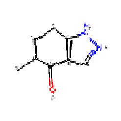 CC1CCc2[nH]ncc2C1=O